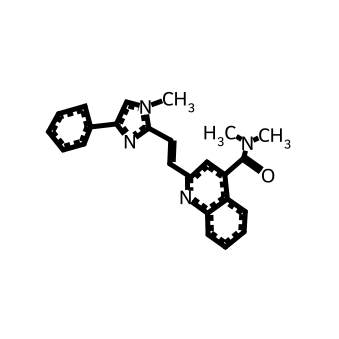 CN(C)C(=O)c1cc(/C=C/c2nc(-c3ccccc3)cn2C)nc2ccccc12